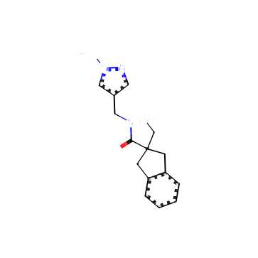 Cn1cc(CNC(=O)C2(CC(=O)O)Cc3ccccc3C2)cn1